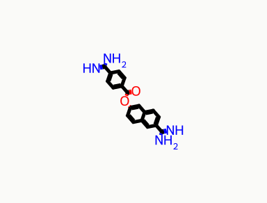 N=C(N)c1ccc(C(=O)Oc2ccc3cc(C(=N)N)ccc3c2)cc1